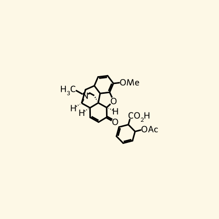 CC(=O)OC1C=CC=CC1C(=O)O.COC1=C2O[C@H]3C(=O)C=C[C@H]4[C@H]5CC(C=C1)C2[C@@]34CCN5C